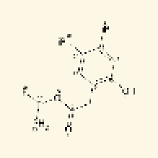 CC(C)c1cc(O)c(CC(=O)OP(F)P)cc1C(C)C